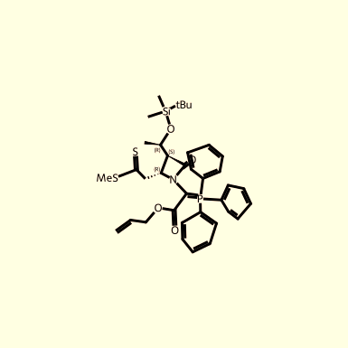 C=CCOC(=O)C(N1C(=O)[C@H]([C@@H](C)O[Si](C)(C)C(C)(C)C)[C@H]1CC(=S)SC)=P(c1ccccc1)(c1ccccc1)c1ccccc1